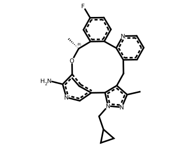 Cc1nn(CC2CC2)c2c1Cc1cccnc1-c1ccc(F)cc1[C@@H](C)Oc1cc-2cnc1N